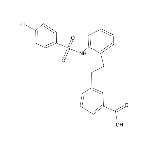 O=C(O)c1cccc(CCc2ccccc2NS(=O)(=O)c2ccc(Cl)cc2)c1